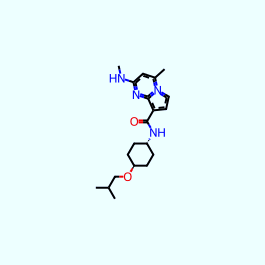 CNc1cc(C)n2ccc(C(=O)N[C@H]3CC[C@H](OCC(C)C)CC3)c2n1